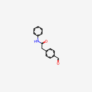 O=Cc1ccc(CC(=O)Nc2ccccc2)cc1